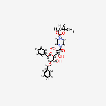 CC(C)(C)OC(=O)N1CCN(C(=O)[C@H](O)[C@@H](O)[C@H](OCc2ccccc2)[C@H](O)COCc2ccccc2)CC1